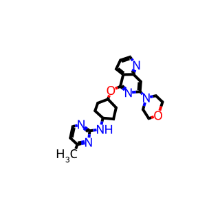 Cc1ccnc(NC2CCC(Oc3nc(N4CCOCC4)cc4ncccc34)CC2)n1